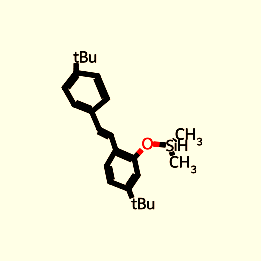 C[SiH](C)Oc1cc(C(C)(C)C)ccc1C=Cc1ccc(C(C)(C)C)cc1